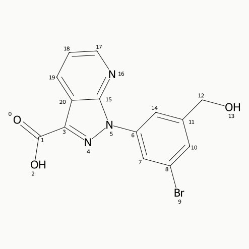 O=C(O)c1nn(-c2cc(Br)cc(CO)c2)c2ncccc12